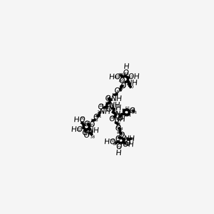 CCNC1C(OCCOCCNC(=O)C(CCC(=O)NCCOCCOC2OC(CO)C(O)C(O)C2NC(C)=O)NC(=O)CCC(NC(=O)C2CCC(OC)CC2)C(=O)NCCOCCOC2OC(CO)C(O)C(O)C2NC(C)=O)OC(CO)C(O)C1O